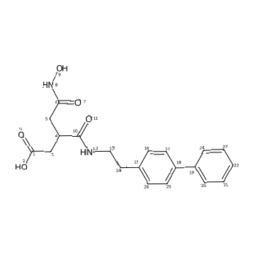 O=C(O)CC(CC(=O)NO)C(=O)NCCc1ccc(-c2ccccc2)cc1